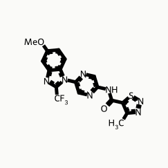 COc1ccc2c(c1)nc(C(F)(F)F)n2-c1cnc(NC(=O)c2snnc2C)cn1